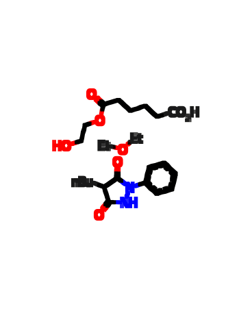 CCCCC1C(=O)NN(c2ccccc2)C1=O.CCOCC.O=C(O)CCCCC(=O)OCCO